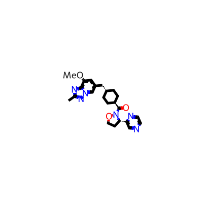 COc1cc(C[C@H]2CC[C@H](C(=O)N3OCC[C@H]3c3cnccn3)CC2)cn2nc(C)nc12